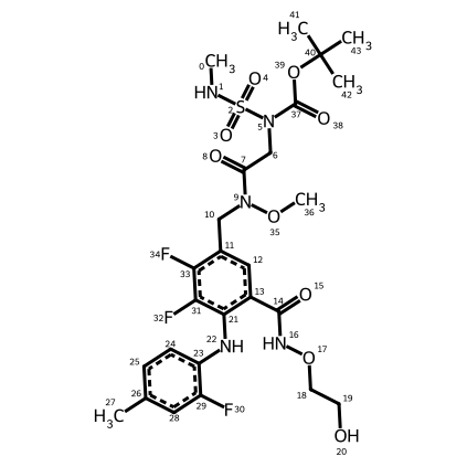 CNS(=O)(=O)N(CC(=O)N(Cc1cc(C(=O)NOCCO)c(Nc2ccc(C)cc2F)c(F)c1F)OC)C(=O)OC(C)(C)C